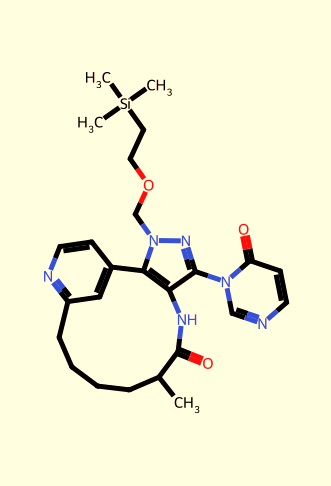 CC1CCCCc2cc(ccn2)-c2c(c(-n3cnccc3=O)nn2COCC[Si](C)(C)C)NC1=O